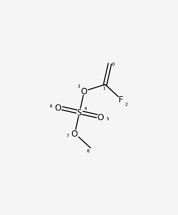 C=C(F)OS(=O)(=O)OC